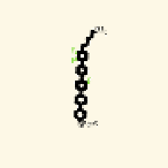 C=CCCCCc1ccc(-c2ccc(-c3ccc(C4CCC(C5CCC(CCCCC)CC5)CC4)cc3F)cc2)c(F)c1F